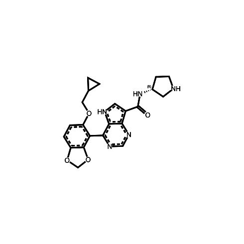 O=C(N[C@@H]1CCNC1)c1c[nH]c2c(-c3c(OCC4CC4)ccc4c3OCO4)ncnc12